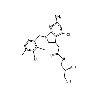 CCc1c(C)cnc(CN2C[C@H](CC(=O)NC[C@@H](O)CO)c3c(Cl)nc(N)nc32)c1C